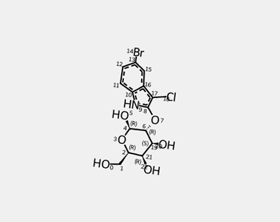 OC[C@H]1O[C@@H](O)[C@H](Oc2[nH]c3ccc(Br)cc3c2Cl)[C@@H](O)[C@H]1O